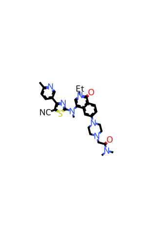 CCn1cc(N(C)c2nc(-c3ccc(C)nc3)c(C#N)s2)c2cc(N3CCN(CC(=O)N(C)C)CC3)ccc2c1=O